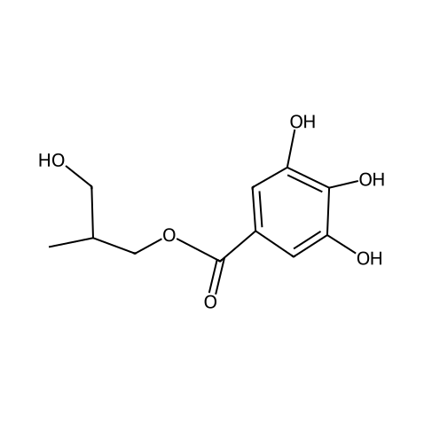 CC(CO)COC(=O)c1cc(O)c(O)c(O)c1